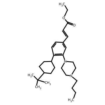 CCCCN1CCN(c2cc(/C=C/C(=O)OCC)ccc2C2CCC(C(C)(C)C)CC2)CC1